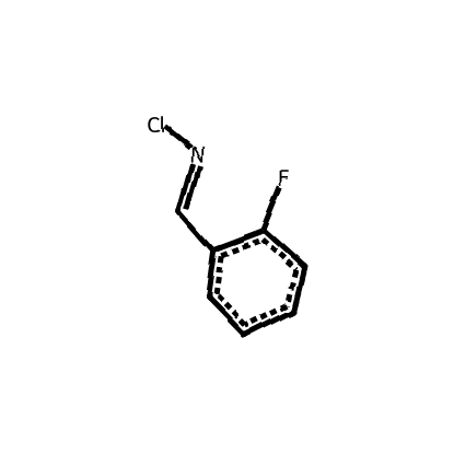 Fc1ccccc1C=NCl